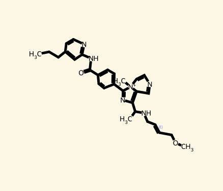 CCCc1ccnc(NC(=O)c2ccc(C3=NC(C(C)NC/C=C/COC)=C4C=NC=C[N+]34C)cc2)c1